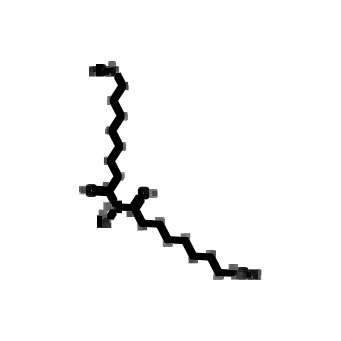 CCCCCCCCCCCCCCCCCC(=O)N(CC)C(=O)CCCCCCCCCCCCCCCCC